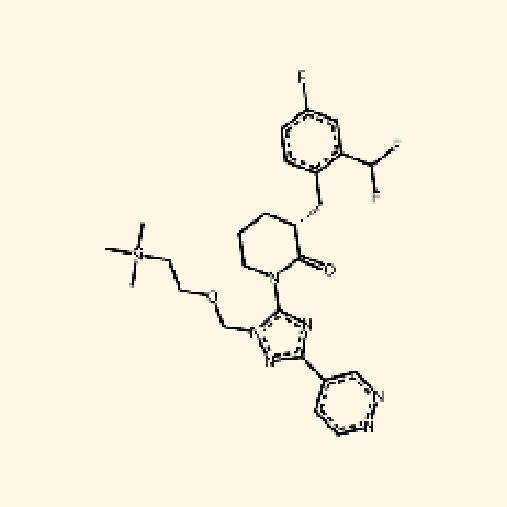 C[Si](C)(C)CCOCn1nc(-c2ccnnc2)nc1N1CCC[C@H](Cc2ccc(F)cc2C(F)F)C1=O